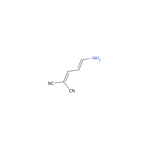 N#CC(C#N)=CC=CN